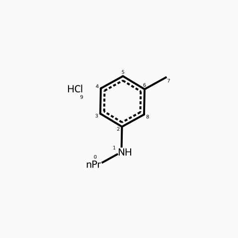 CCCNc1cccc(C)c1.Cl